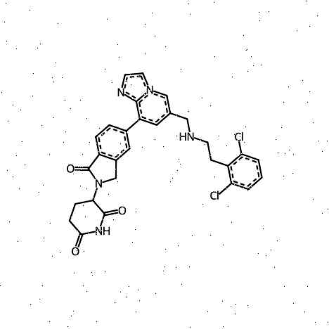 O=C1CCC(N2Cc3cc(-c4cc(CNCCc5c(Cl)cccc5Cl)cn5ccnc45)ccc3C2=O)C(=O)N1